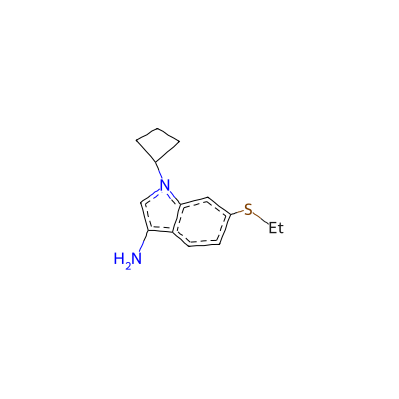 CCSc1ccc2c(N)cn(C3CCC3)c2c1